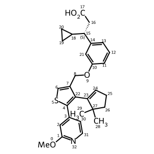 COc1cc(-c2scc(COc3cccc([C@@H](CC(=O)O)C4CC4)c3)c2C2=CCCC2(C)C)ccn1